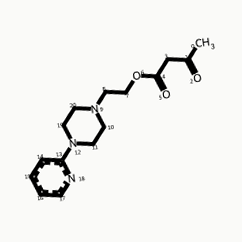 CC(=O)CC(=O)OCCN1CCN(c2ccccn2)CC1